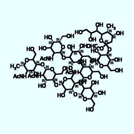 CC(=O)NC1C(O)[C@H](O)[C@H](CO)O[C@H]1OC1[C@@H](OCC2O[C@@H](O[C@@H]3C(CO)O[C@@H](O[C@@H]4C(CO)O[C@@H](C)C(NC(C)=O)[C@H]4O)C(NC(C)=O)[C@H]3O)C(O)[C@@H](O[C@H]3OC(CO)[C@@H](O)C(O)C3O[C@@H]3OC(CO)[C@@H](O[C@@H]4OC(CO)[C@H](O)[C@H](O[C@]5(OC=O)C[C@@H](O)[C@@H](C)C(C(O)C(O)CO)O5)C4O)[C@H](O)C3NC(C)=O)[C@@H]2O)OC(CO)[C@@H](O)[C@@H]1O